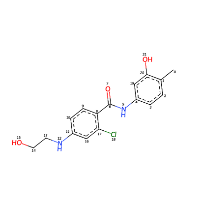 Cc1ccc(NC(=O)c2ccc(NCCO)cc2Cl)cc1O